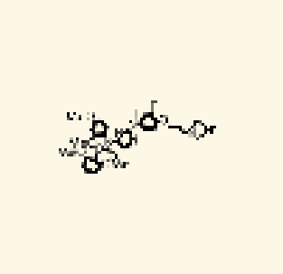 COc1ccc(N(C(=O)Oc2c(OC)cccc2OC)c2ccnc(Nc3ccc(OCCCN4CCN(C)CC4)c(F)c3)n2)c(OC)c1